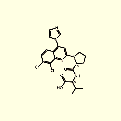 CC(C)[C@H](NC(=O)[C@@H]1CCCN1c1cc(-n2ccnc2)c2ccc(Cl)c(Cl)c2n1)C(=O)O